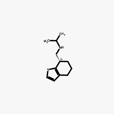 CC(C)NC[C@@H]1CCCc2ccsc21